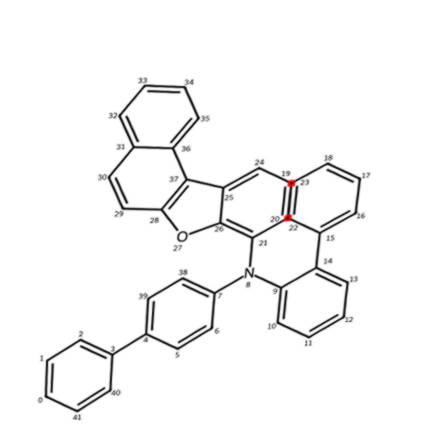 c1ccc(-c2ccc(N(c3ccccc3-c3ccccc3)c3cccc4c3oc3ccc5ccccc5c34)cc2)cc1